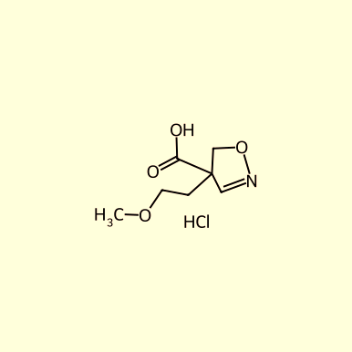 COCCC1(C(=O)O)C=NOC1.Cl